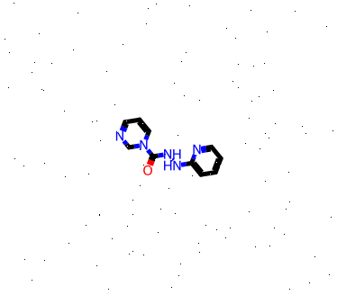 O=C(NNc1ccccn1)N1C=CC=NC1